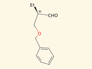 CC[C@@H](C=O)COCc1ccccc1